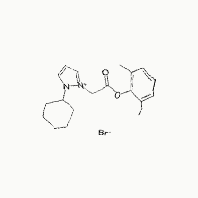 Cc1cccc(C)c1OC(=O)C[n+]1cccn1C1CCCCC1.[Br-]